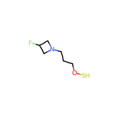 FC1CN(CCCOS)C1